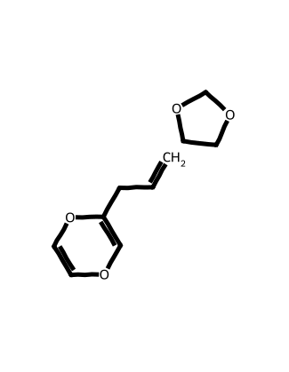 C1COCO1.C=CCC1=COC=CO1